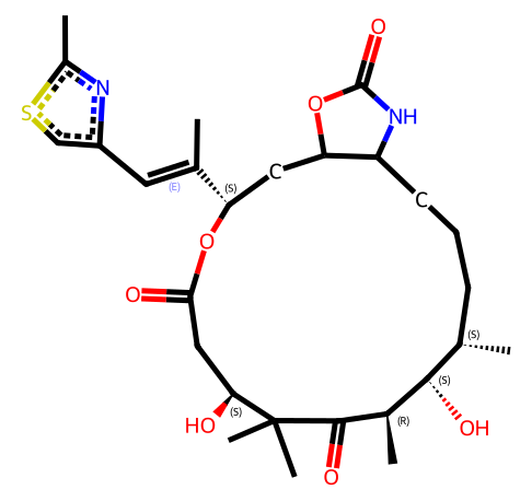 C/C(=C\c1csc(C)n1)[C@@H]1CC2OC(=O)NC2CCC[C@H](C)[C@H](O)[C@@H](C)C(=O)C(C)(C)[C@@H](O)CC(=O)O1